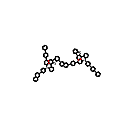 c1ccc(-c2ccc(-c3ccc(N(c4ccc(-c5ccc(-c6ccc7ccc(-c8cccc9c8sc8c(-c%10ccccc%10N(c%10ccc(-c%11ccc(-c%12ccccc%12)cc%11)cc%10)c%10ccc(-c%11ccc%12ccccc%12c%11)cc%10)cccc89)cc7c6)cc5)cc4)c4ccccc4-c4cccc5c4sc4ccccc45)cc3)cc2)cc1